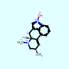 C[C@@H]1C=C2c3cccc4c3c(cn4O)C[C@H]2N(C)C1